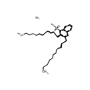 CCCCCCCCCCCc1cc2ccccc2c(S(=O)(=O)O)c1CCCCCCCCCCC.N